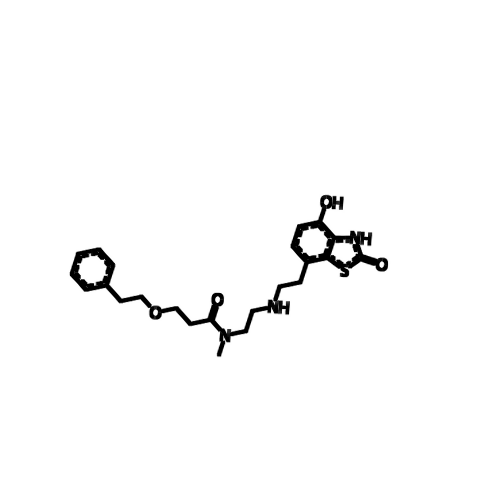 CN(CCNCCc1ccc(O)c2[nH]c(=O)sc12)C(=O)CCOCCc1ccccc1